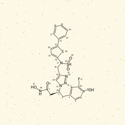 O=C(C[C@H](Cc1ccc(O)c(F)c1)n1cc(CN(c2ccc(-c3ccccc3)s2)[SH](=O)=O)nn1)NO